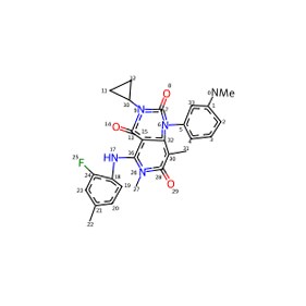 CNc1cccc(-n2c(=O)n(C3CC3)c(=O)c3c(Nc4ccc(C)cc4F)n(C)c(=O)c(C)c32)c1